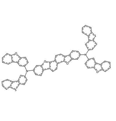 c1ccc2c(c1)oc1ccc(N(c3ccc4c(c3)oc3c4ccc4c3ccc3c5ccc(N(c6ccc7oc8ccccc8c7c6)c6ccc7sc8ccccc8c7c6)cc5oc34)c3ccc4sc5ccccc5c4c3)cc12